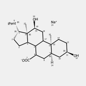 CCC[C@@H](C)[C@H]1CCC2C3C(C(=O)[O-])C[C@@H]4C[C@H](O)CC[C@]4(C)C3C[C@H](O)[C@@]21C.[Na+]